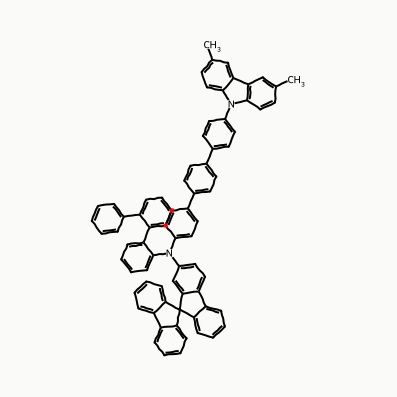 Cc1ccc2c(c1)c1cc(C)ccc1n2-c1ccc(-c2ccc(-c3ccc(N(c4ccc5c(c4)C4(c6ccccc6-c6ccccc64)c4ccccc4-5)c4ccccc4-c4ccccc4-c4ccccc4)cc3)cc2)cc1